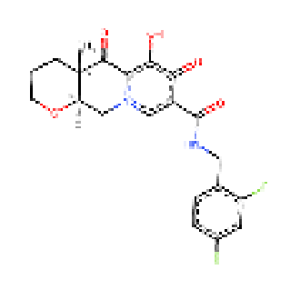 C[C@]12CCCO[C@@H]1Cn1cc(C(=O)NCc3ccc(F)cc3F)c(=O)c(O)c1C2=O